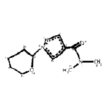 CN(C)C(=O)c1cnn(C2CCCCO2)c1